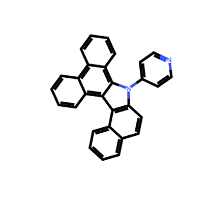 c1ccc2c(c1)ccc1c2c2c3ccccc3c3ccccc3c2n1-c1ccncc1